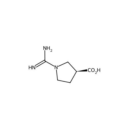 N=C(N)N1CC[C@H](C(=O)O)C1